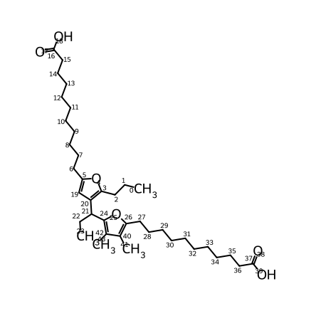 CCCc1oc(CCCCCCCCCCC(=O)O)cc1C(CC)c1oc(CCCCCCCCCCC(=O)O)c(C)c1C